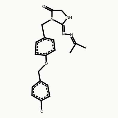 CC(C)=NN=C1NCC(=O)N1Cc1ccc(OCc2ccc(Cl)cc2)cc1